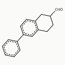 O=CC1CCc2cc(-c3ccccc3)ccc2C1